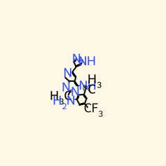 Cc1nc(N[C@H](C)c2cc(N)cc(C(F)(F)F)c2)c2cc(-c3cn[nH]c3)ncc2n1